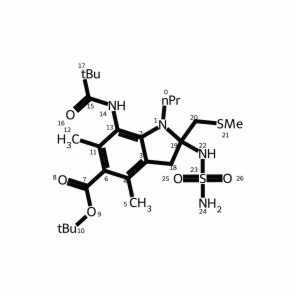 CCCN1c2c(c(C)c(C(=O)OC(C)(C)C)c(C)c2NC(=O)C(C)(C)C)CC1(CSC)NS(N)(=O)=O